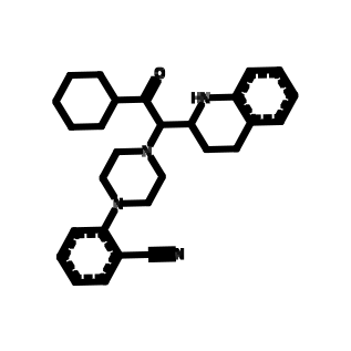 N#Cc1ccccc1N1CCN(C(C(=O)C2CCCCC2)C2CCc3ccccc3N2)CC1